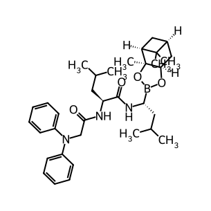 CC(C)C[C@H](NC(=O)[C@H](CC(C)C)NC(=O)CN(c1ccccc1)c1ccccc1)B1O[C@@H]2C[C@@H]3C[C@@H](C3(C)C)[C@]2(C)O1